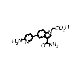 NC(=O)c1cn(CC(=O)O)c2ccc(-c3ccc(N)nc3)cc12